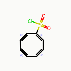 O=S(=O)(Cl)C1=C/C=C\C=C/C=C\1